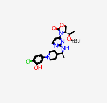 CC(OC(C)(C)C)[C@H]1COC(=O)N1c1ccnc(N[C@@H](C)C2CCN(c3ccc(Cl)c(O)c3)CC2)n1